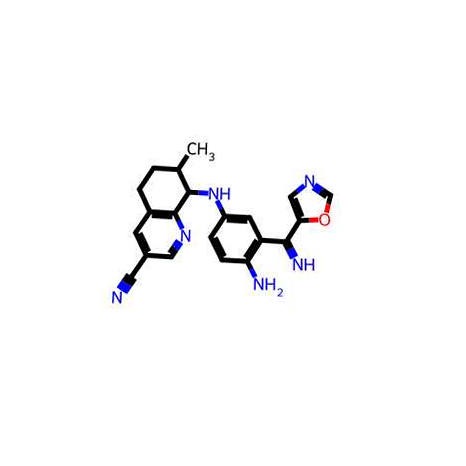 CC1CCc2cc(C#N)cnc2C1Nc1ccc(N)c(C(=N)c2cnco2)c1